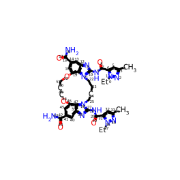 CCn1nc(C)cc1C(=O)Nc1nc2cc(C(N)=O)cc3c2n1CCCCn1c(NC(=O)c2cc(C)nn2CC)nc2cc(C(N)=O)cc(c21)OCCCO3